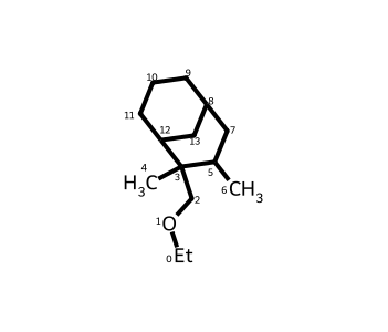 CCOCC1(C)C(C)CC2CCCC1C2